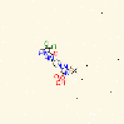 Cc1[nH]c(C(=O)NC2CCN(c3cc(OC(=O)O)nc(SC(C)(C)C)n3)CC2)c(Cl)c1Cl